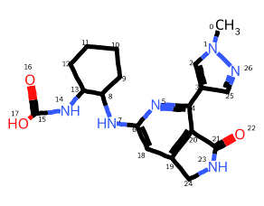 Cn1cc(-c2nc(NC3CCCCC3NC(=O)O)cc3c2C(=O)NC3)cn1